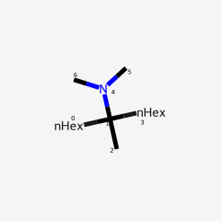 CCCCCCC(C)(CCCCCC)N(C)C